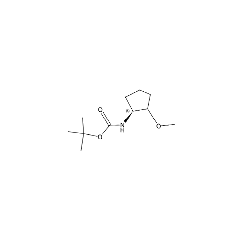 COC1CCC[C@@H]1NC(=O)OC(C)(C)C